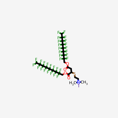 C[N+](C)(I)CCSC(CC(=O)OCC(F)(F)C(F)(F)C(F)(F)C(F)(F)C(F)(F)C(F)(F)C(F)(F)C(F)F)C(=O)OCC(F)(F)C(F)(F)C(F)(F)C(F)(F)C(F)(F)C(F)(F)C(F)(F)C(F)F